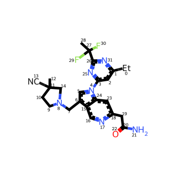 CCc1cc(-n2cc(CN3CCC(C)(C#N)C3)c3cnc(CC(N)=O)cc32)nc(C(C)(F)F)n1